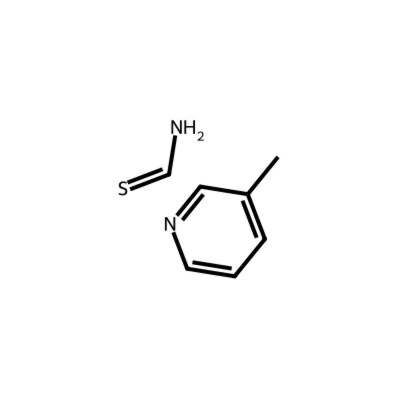 Cc1cccnc1.NC=S